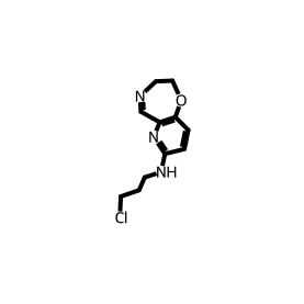 ClCCCNc1ccc2c(n1)C=NCCO2